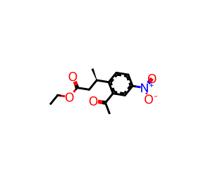 CCOC(=O)C[C@@H](C)c1ccc([N+](=O)[O-])cc1C(C)=O